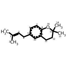 CC(C)=CCc1ccc2c(c1)CCC(C)(C)O2